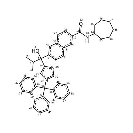 CC(C)C(O)(c1ccc2cc(C(=O)NC3CCCCCC3)ccc2c1)c1cn(C(c2ccccc2)(c2ccccc2)c2ccccc2)cn1